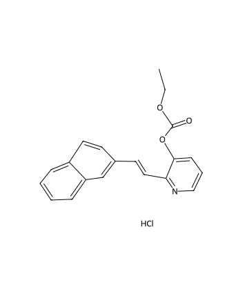 CCOC(=O)Oc1cccnc1C=Cc1ccc2ccccc2c1.Cl